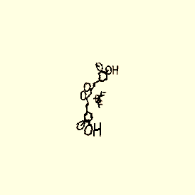 COc1cc(/C=C/C(=O)CC(=O)/C=C/c2ccc(O)c(OC)c2)ccc1O.F[B]F